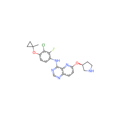 CC1(Oc2ccc(Nc3ncnc4ccc(O[C@H]5CCNC5)nc34)c(F)c2Cl)CC1